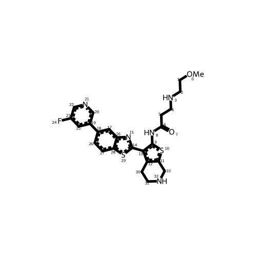 COCCNCCC(=O)Nc1sc2c(c1-c1nc3cc(-c4cncc(F)c4)ccc3s1)CCNC2